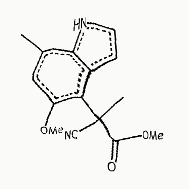 COC(=O)C(C)(C#N)c1c(OC)cc(C)c2[nH]ccc12